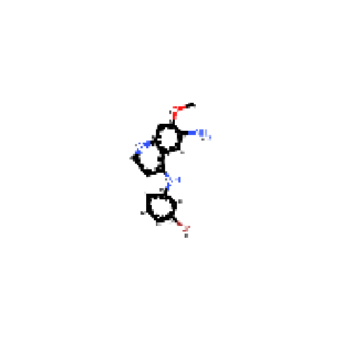 COc1cc2nccc(Nc3cccc(Br)c3)c2cc1N